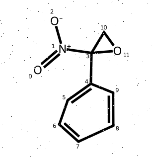 O=[N+]([O-])C1(c2ccccc2)CO1